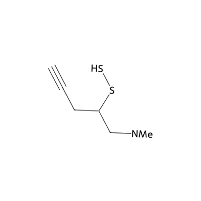 C#CCC(CNC)SS